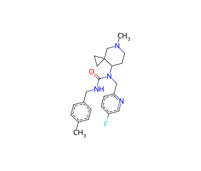 Cc1ccc(CNC(=O)N(Cc2ccc(F)cn2)C2CCN(C)CC23CC3)cc1